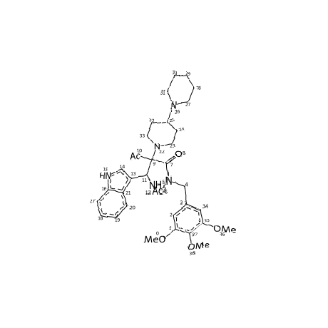 COc1cc(CN(C(C)=O)C(=O)C(C(C)=O)(C(N)c2c[nH]c3ccccc23)N2CCC(N3CCCCC3)CC2)cc(OC)c1OC